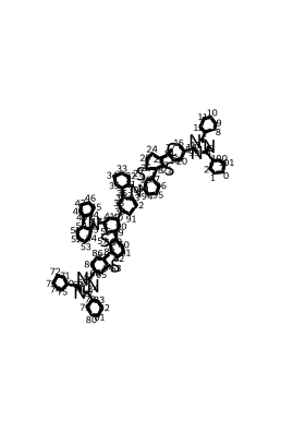 c1ccc(-c2nc(-c3ccccc3)nc(-c3ccc4c(c3)sc3c4ccc4sc5c(-n6c7ccccc7c7cc(-c8cc(-n9c%10ccccc%10c%10ccccc%109)c9sc%10c(ccc%11sc%12cc(-c%13nc(-c%14ccccc%14)nc(-c%14ccccc%14)n%13)ccc%12c%11%10)c9c8)ccc76)cccc5c43)n2)cc1